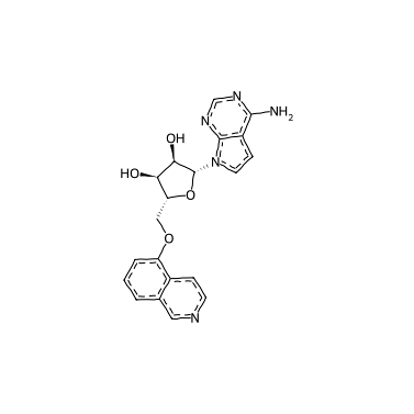 Nc1ncnc2c1ccn2[C@@H]1O[C@H](COc2cccc3cnccc23)[C@@H](O)[C@H]1O